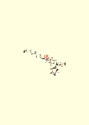 CC(C)CCCCCCC(O)CCCC(CC(C)(C)C)(C(=O)O)c1ccccc1